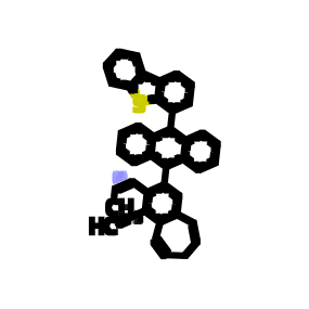 C#Cc1c2c(cc(-c3c4ccccc4c(-c4cccc5c4sc4ccccc45)c4ccccc34)c1/C=C\C)C=CCC#C2